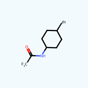 CC(C)C1CCC(NC(=O)C(F)(F)F)CC1